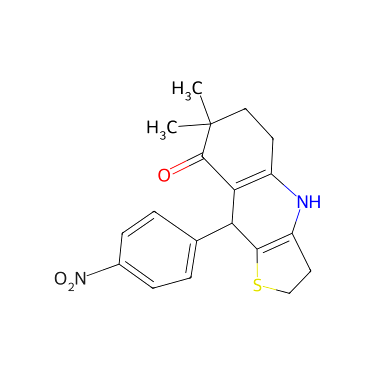 CC1(C)CCC2=C(C1=O)C(c1ccc([N+](=O)[O-])cc1)C1=C(CCS1)N2